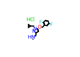 CNCc1cc(OCc2cc(F)ccc2F)n(CC2CC2)n1.Cl